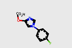 O=C(O)Oc1cn(-c2ccc(F)cc2)cn1